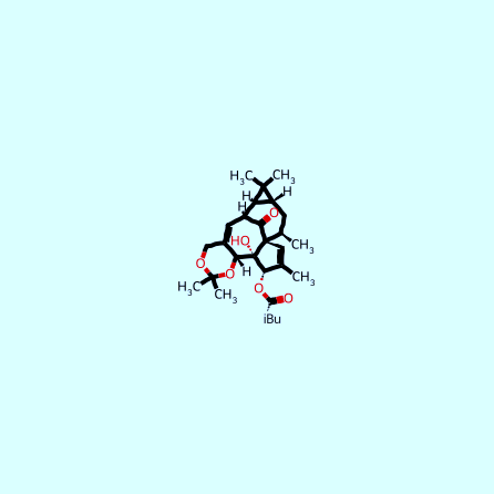 CC[C@@H](C)C(=O)O[C@H]1C(C)=C[C@]23C(=O)[C@@H](C=C4COC(C)(C)O[C@H]4[C@]12O)[C@H]1[C@@H](C[C@H]3C)C1(C)C